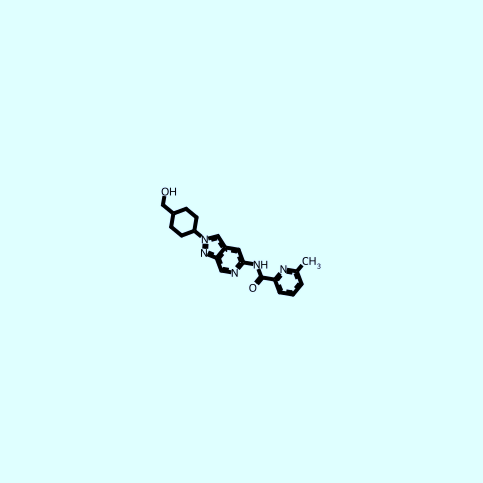 Cc1cccc(C(=O)Nc2cc3cn(C4CCC(CO)CC4)nc3cn2)n1